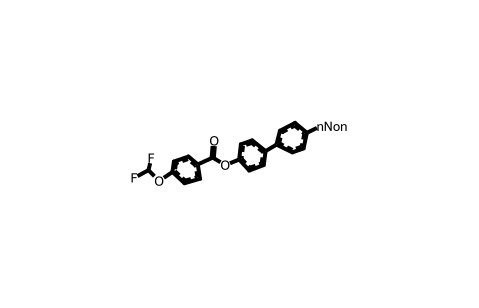 CCCCCCCCCc1ccc(-c2ccc(OC(=O)c3ccc(OC(F)F)cc3)cc2)cc1